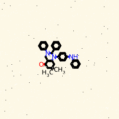 CC1(C)CC(=O)C2=C(C1)N(c1ccc(Nc3ccccc3)cc1)C(c1ccccc1)N(c1ccccc1)C2